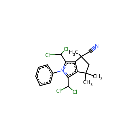 CC1(C)CC(C)(C#N)c2c1c(C(Cl)Cl)n(-c1ccccc1)c2C(Cl)Cl